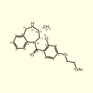 CC(=O)OCCOc1ccc(C(=O)N2C[C@@H](C)NCc3ccccc32)c(Cl)c1